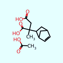 CC(=O)O.CC(CC(=O)O)(C(=O)O)C1CC2C=CC1C2